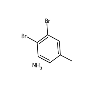 Cc1ccc(Br)c(Br)c1.N